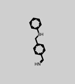 N=Cc1ccc(CBc2ccccc2)cc1